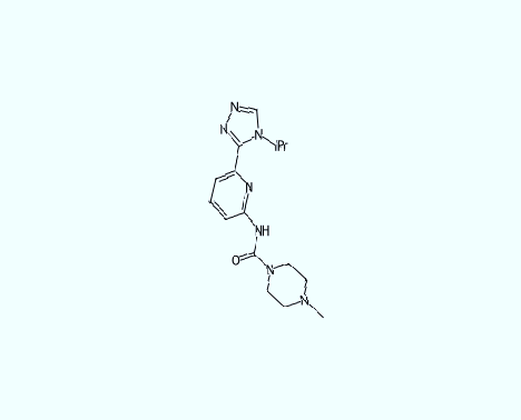 CC(C)n1cnnc1-c1cccc(NC(=O)N2CCN(C)CC2)n1